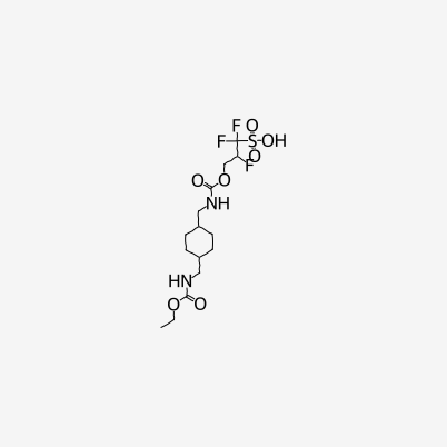 CCOC(=O)NCC1CCC(CNC(=O)OCC(F)C(F)(F)S(=O)(=O)O)CC1